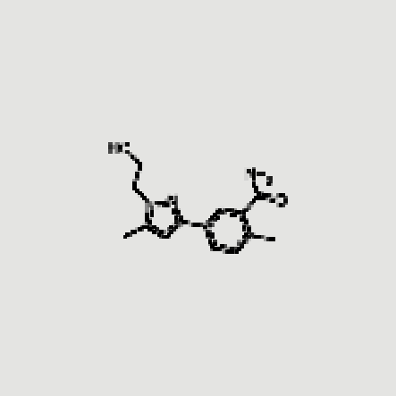 Cc1ccc(-c2cc(C)n(CCO)n2)cc1C(N)=O